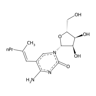 CCC/C(C)=C/c1cn([C@@H]2O[C@H](CO)[C@@H](O)[C@H]2O)c(=O)nc1N